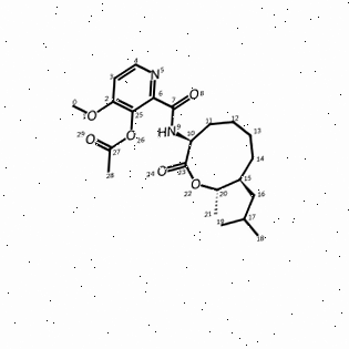 COc1ccnc(C(=O)N[C@H]2CCCC[C@@H](CC(C)C)[C@H](C)OC2=O)c1OC(C)=O